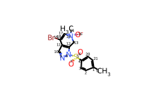 Cc1ccc(S(=O)(=O)n2ncc3c2C[N+](C)([O-])C=C3Br)cc1